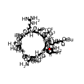 CC[C@H](C)[C@@H]1NC(=O)[C@@H](CCCNC(=N)N)NC(=O)[C@H](CC(C)C)NC(=O)[C@H]([C@H](OC(=O)C(F)(F)F)C(C)C)NC(=O)[C@@H](N(C(=O)CCCNC(=O)OC(C)(C)C)C(=O)[C@@H](N)CC(C)C)[C@@H](c2ccccc2)OC(=O)[C@H](CO)NC(=O)[C@H]([C@H](O)C(N)=O)NC(=O)CNC(=O)[C@H]([C@H](C)O)NC1=O